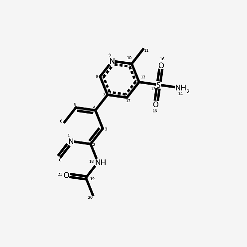 C=N/C(=C\C(=C/C)c1cnc(C)c(S(N)(=O)=O)c1)NC(C)=O